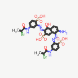 C=C(Br)C(=O)Nc1ccc(S(=O)(=O)O)c(N=Nc2c(S(=O)(=O)O)cc3c(N=Nc4cc(NC(=O)C(=C)Br)ccc4S(=O)(=O)O)c(N)ccc3c2O)c1